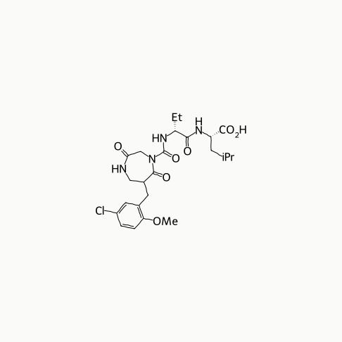 CC[C@@H](NC(=O)N1CC(=O)NCC(Cc2cc(Cl)ccc2OC)C1=O)C(=O)N[C@@H](CC(C)C)C(=O)O